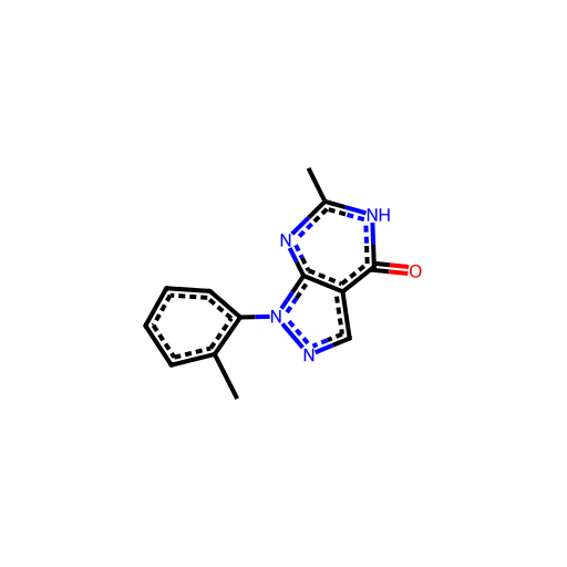 Cc1nc2c(cnn2-c2ccccc2C)c(=O)[nH]1